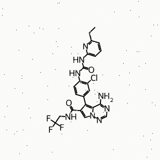 CCc1cccc(NC(=O)Nc2ccc(-c3c(C(=O)NCC(F)(F)F)cn4ncnc(N)c34)cc2Cl)n1